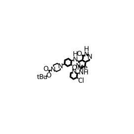 COc1cc(N2CCN(C(=O)OC(C)(C)C)CC2)ccc1Nc1nc(Nc2ncccc2Cl)cc2cn[nH]c(=O)c12